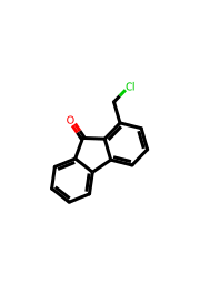 O=C1c2ccccc2-c2cccc(CCl)c21